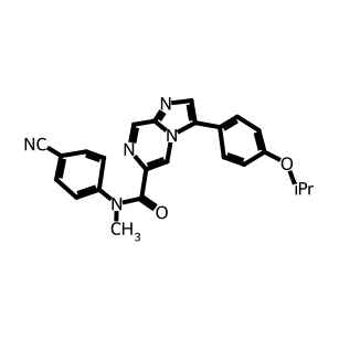 CC(C)Oc1ccc(-c2cnc3cnc(C(=O)N(C)c4ccc(C#N)cc4)cn23)cc1